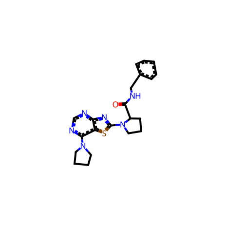 O=C(NCc1ccccc1)C1CCCN1c1nc2ncnc(N3CCCC3)c2s1